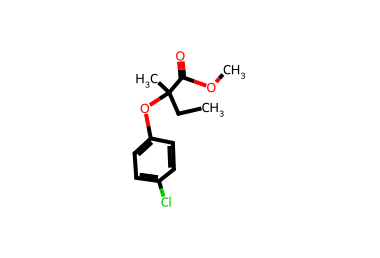 CCC(C)(Oc1ccc(Cl)cc1)C(=O)OC